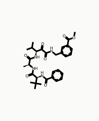 COC(=O)c1cccc(CNC(=O)C(=O)[C@@H](NC(=O)[C@H](C)NC(=O)[C@@H](NC(=O)c2ccccc2)C(C)(C)C)C(C)C)c1